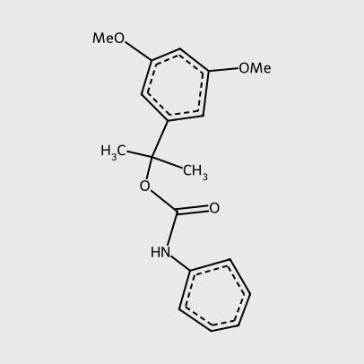 COc1cc(OC)cc(C(C)(C)OC(=O)Nc2ccccc2)c1